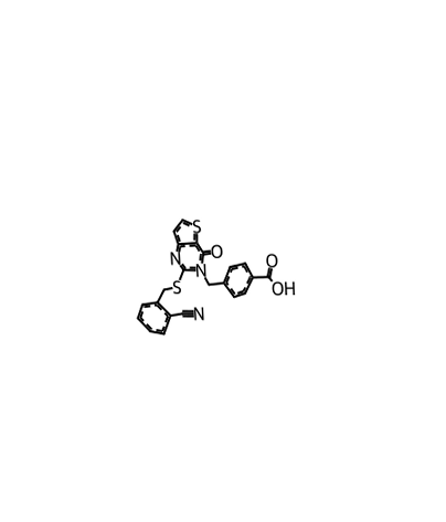 N#Cc1ccccc1CSc1nc2ccsc2c(=O)n1Cc1ccc(C(=O)O)cc1